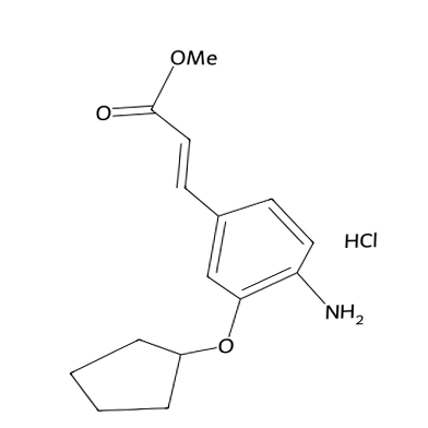 COC(=O)C=Cc1ccc(N)c(OC2CCCC2)c1.Cl